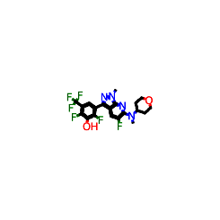 CN(c1nc2c(cc1F)c(-c1cc(C(F)(F)F)c(F)c(O)c1F)nn2C)C1CCOCC1